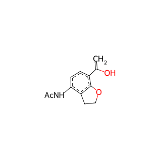 C=C(O)c1ccc(NC(C)=O)c2c1OCC2